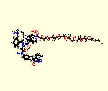 CCC1(C(=O)N(CC(=O)Nc2ccc3c(c2)C[C@@]2(C3)C(=O)Nc3ncccc32)Cc2ccccc2CNC)CCN(C(O)COCCOCCOCCOCCOCCOCCOC)CC1